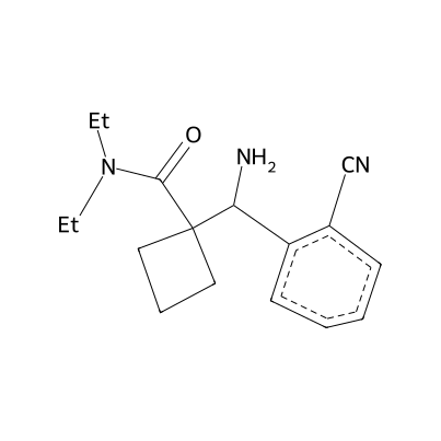 CCN(CC)C(=O)C1(C(N)c2ccccc2C#N)CCC1